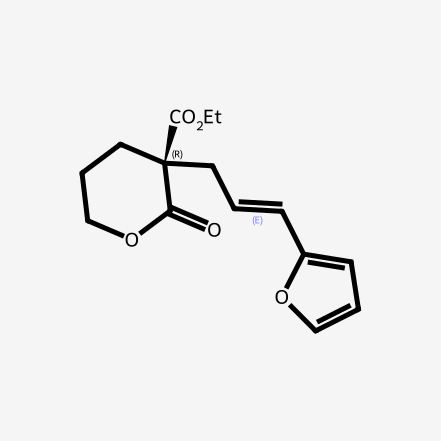 CCOC(=O)[C@]1(C/C=C/c2ccco2)CCCOC1=O